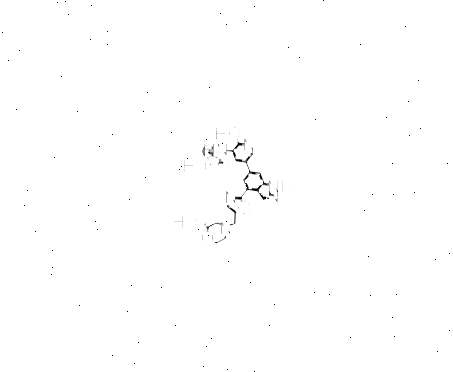 C[C@@H]1CN(Cc2cnc(-c3cc(-c4cnc(O)c(NS(C)(=O)=O)c4)cc4[nH]ncc34)o2)CCO1